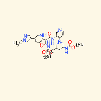 Cn1cc(C2=Cc3oc(NC(=O)OC(C)(C)C)c(C(=O)Nc4cnccc4N4C[C@@H](NC(=O)OC(C)(C)C)C[C@@H](C(F)(F)F)C4)c3NC2)cn1